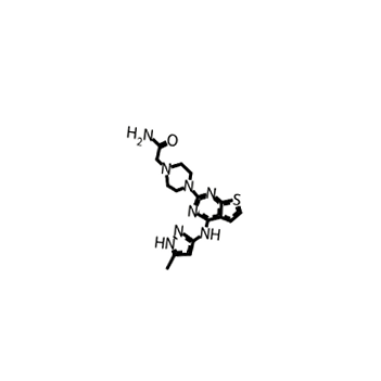 Cc1cc(Nc2nc(N3CCN(CC(N)=O)CC3)nc3sccc23)n[nH]1